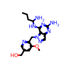 CCCC(N)Nc1nc(N)nc2cnn(Cc3ncc(CO)cc3OC)c12